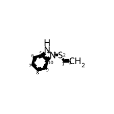 C=CSn1[nH]c2ccccc21